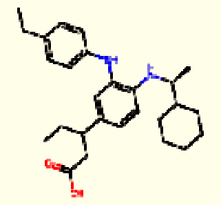 CCc1ccc(Nc2cc(C(CC)CC(=O)O)ccc2N[C@@H](C)C2CCCCC2)cc1